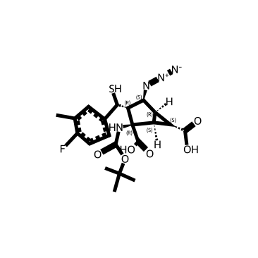 Cc1cc(C(S)[C@@H]2[C@@H](N=[N+]=[N-])[C@H]3[C@H](C(=O)O)[C@H]3[C@]2(NC(=O)OC(C)(C)C)C(=O)O)ccc1F